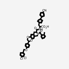 Cc1ccccc1C(=O)N1Cc2cc3c(cc2CC1C(=O)NC(Cc1ccc(-c2ccc(C#N)cc2)cc1)C(=O)O)OCC(c1ccc(OCc2ccc(Cl)c(Cl)c2)cc1)O3